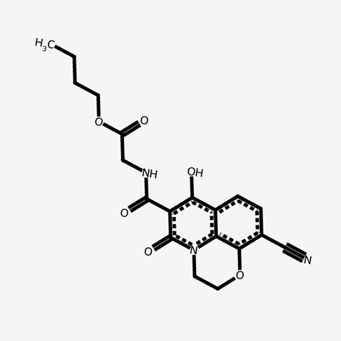 CCCCOC(=O)CNC(=O)c1c(O)c2ccc(C#N)c3c2n(c1=O)CCO3